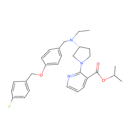 CCN(Cc1ccc(OCc2ccc(F)cc2)cc1)[C@@H]1CCN(c2ncccc2C(=O)OC(C)C)C1